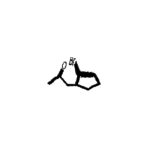 CC(=O)CC1CCC=C1Br